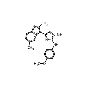 Br.COc1ccc(Nc2nc(-c3c(C)nc4ccc(C)cn34)cs2)cc1